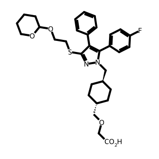 O=C(O)COC[C@H]1CC[C@H](Cn2nc(SCCOC3CCCCO3)c(-c3ccccc3)c2-c2ccc(F)cc2)CC1